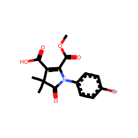 COC(=O)C1=C(C(=O)O)C(C)(C)C(=O)N1c1ccc(Br)cc1